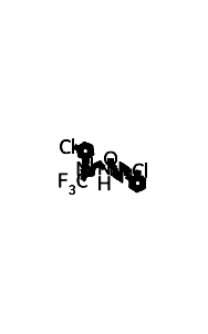 O=C(NCc1cc(C(F)(F)F)nn1-c1cccc(Cl)c1)N1CCN(c2ccccc2Cl)CC1